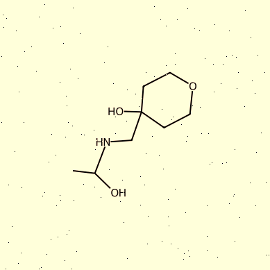 CC(O)NCC1(O)CCOCC1